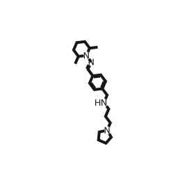 CC1CCCC(C)N1/N=C/c1ccc(CNCCCN2CCCC2)cc1